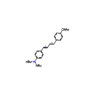 CCCCN(CCCC)c1ccc(/C=C/C=C/c2ccc(OC)cc2)cc1